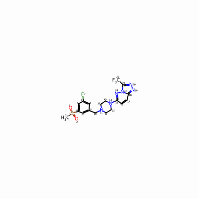 CS(=O)(=O)c1cc(F)cc(CN2CCN(c3ccc4nnc(C(F)(F)F)n4n3)CC2)c1